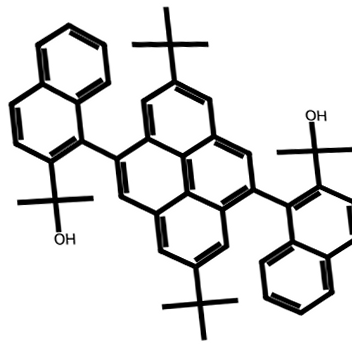 CC(C)(C)c1cc2cc(-c3c(C(C)(C)O)ccc4ccccc34)c3cc(C(C)(C)C)cc4cc(-c5c(C(C)(C)O)ccc6ccccc56)c(c1)c2c43